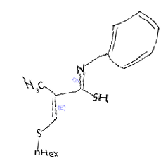 CCCCCCS/C=C(C)/C(S)=N/c1ccccc1